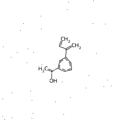 C=CC(=C)c1cccc(C(=C)O)c1